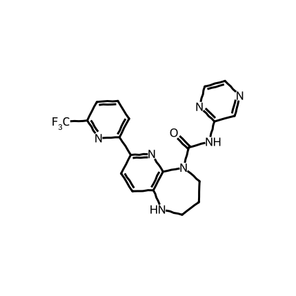 O=C(Nc1cnccn1)N1CCCNc2ccc(-c3cccc(C(F)(F)F)n3)nc21